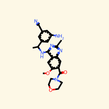 COc1cc2c(NC(C)c3cc(N)cc(C#N)c3)nc(C)nc2cc1C(=O)N1CCOCC1